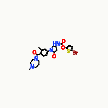 Cc1cc(N2CC(NC(=O)Oc3ccc(Br)s3)CC2=O)ccc1C(=O)N1CCCN(C)CC1